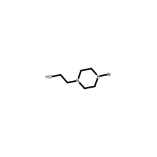 OCCN1CCN(Br)CC1